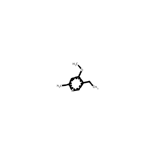 CCc1cnc(C)cc1OC